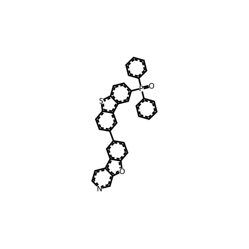 O=P(c1ccccc1)(c1ccccc1)c1ccc2sc3ccc(-c4ccc5oc6cnccc6c5c4)cc3c2c1